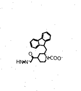 N=[N+]=CC(=O)C1CCN(C(=O)[O-])C(CC2c3ccccc3-c3ccccc32)C1